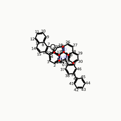 Cc1ccc2c(oc3c4ccccc4ccc23)c1C1=C\CC(C)/C(c2cccc3ccccc23)=N/C(c2ccc(-c3ccccc3)cc2)=N\1